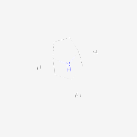 CC(C)[C@@H]1C[C@H]2CC[C@@H](C1)N2